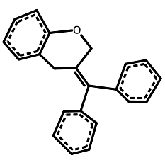 c1ccc(C(=C2COc3ccccc3C2)c2ccccc2)cc1